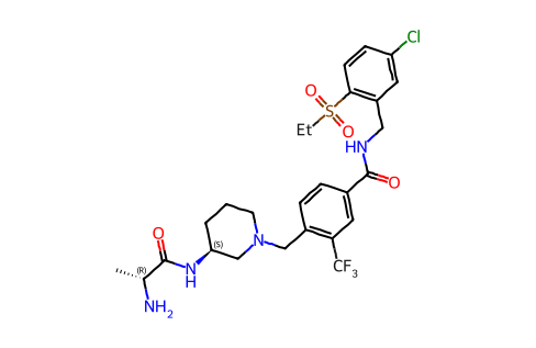 CCS(=O)(=O)c1ccc(Cl)cc1CNC(=O)c1ccc(CN2CCC[C@H](NC(=O)[C@@H](C)N)C2)c(C(F)(F)F)c1